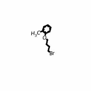 Cc1ccccc1OCCCCBr